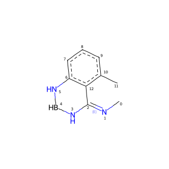 C/N=C1/NBNc2cccc(C)c21